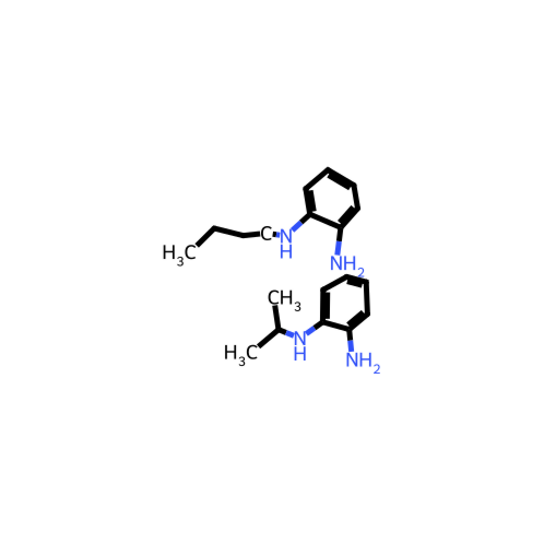 CC(C)Nc1ccccc1N.CCCCNc1ccccc1N